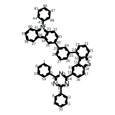 c1ccc(-c2nc(-c3ccccc3)nc(-c3ccc4sc5cccc(-c6cccc(-c7ccc8c(c7)c7ccccc7n8-c7ccccc7)c6)c5c4c3)n2)cc1